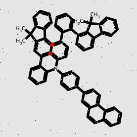 CC1(C)c2ccccc2-c2ccc(-c3ccccc3N(c3ccc(-c4ccc5c(ccc6ccccc65)c4)cc3)c3ccc(-c4ccccc4-c4cccc5c4C(C)(C)c4ccccc4-5)cc3)cc21